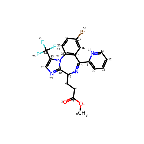 COC(=O)CCC1N=C(c2ccccn2)c2cc(Br)ccc2-n2c(C(F)(F)F)cnc21